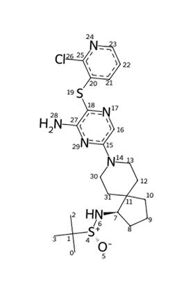 CC(C)(C)[S@@+]([O-])N[C@@H]1CCCC12CCN(c1cnc(Sc3cccnc3Cl)c(N)n1)CC2